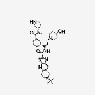 CN(C(=O)c1cccc([C@@H](CCN2CCC(O)CC2)NC(=O)c2nc3cc4c(nc3s2)CC[C@H](C(C)(C)C)C4)c1)C1CCNC1